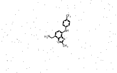 Cc1nc2c(Nc3ccc(C(F)(F)F)cc3)ccc(CN)c2o1